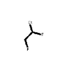 CCC(F)[CH]F